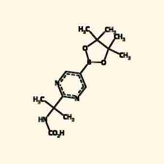 CC(C)(NC(=O)O)c1ncc(B2OC(C)(C)C(C)(C)O2)cn1